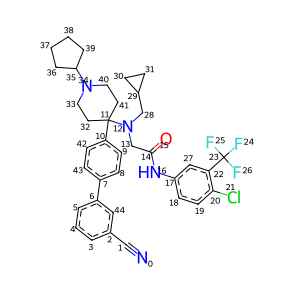 N#Cc1cccc(-c2ccc(C3(N(CC(=O)Nc4ccc(Cl)c(C(F)(F)F)c4)CC4CC4)CCN(C4CCCC4)CC3)cc2)c1